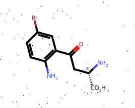 Nc1ccc(Br)cc1C(=O)C[C@H](N)C(=O)O